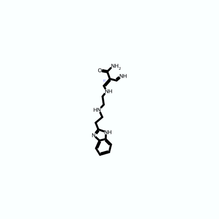 N=C/C(=C\NCCNCCc1nc2ccccc2[nH]1)C(N)=O